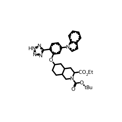 CCOC(=O)C1CC2CC(Oc3cc(-n4ccc5ccccc54)ccc3-c3nn[nH]n3)CCC2CN1C(=O)OC(C)(C)C